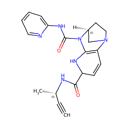 C#C[C@H](C)NC(=O)C1C=CC2=C(N1)N(C(=O)Nc1ccccn1)[C@H]1CCN2C1